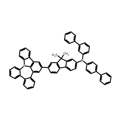 CC1(C)c2cc(-c3cc4c5c(c3)c3ccccc3n5-c3ccccc3-c3ccccc3-4)ccc2-c2ccc(N(c3ccc(-c4ccccc4)cc3)c3cccc(-c4ccccc4)c3)cc21